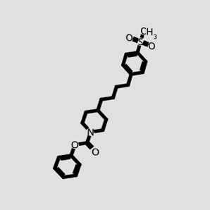 CS(=O)(=O)c1ccc(CCCCC2CCN(C(=O)Oc3ccccc3)CC2)cc1